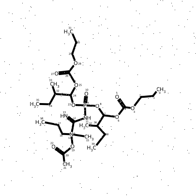 CCCOC(=O)OC(OP(=O)(NC(=N)[N+](C)(CCC)OC(C)=O)OC(OC(=O)OCCC)C(C)CC)C(C)CC